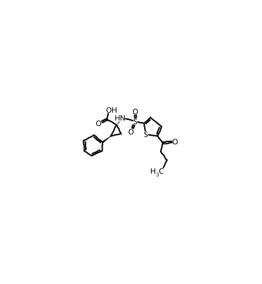 CCCC(=O)c1ccc(S(=O)(=O)N[C@]2(C(=O)O)C[C@H]2c2ccccc2)s1